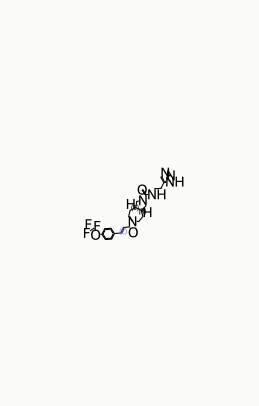 O=C(/C=C/c1ccc(OC(F)(F)F)cc1)N1CC[C@@H]2CN(C(=O)NCCc3cnn[nH]3)C[C@@H]2CC1